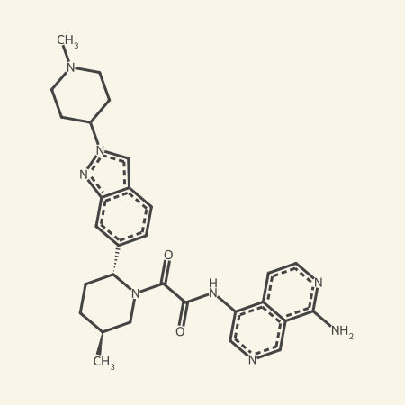 C[C@H]1CC[C@H](c2ccc3cn(C4CCN(C)CC4)nc3c2)N(C(=O)C(=O)Nc2cncc3c(N)nccc23)C1